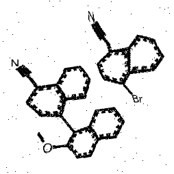 COc1ccc2ccccc2c1-c1ccc(C#N)c2ccccc12.N#Cc1ccc(Br)c2ccccc12